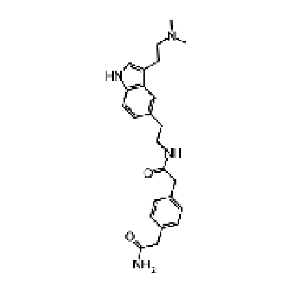 CN(C)CCc1c[nH]c2ccc(CCNC(=O)Cc3ccc(CC(N)=O)cc3)cc12